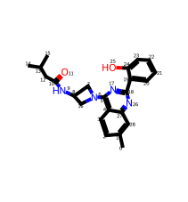 Cc1ccc2c(N3CC(NC(=O)CC(C)C)C3)nc(-c3ccccc3O)nc2c1